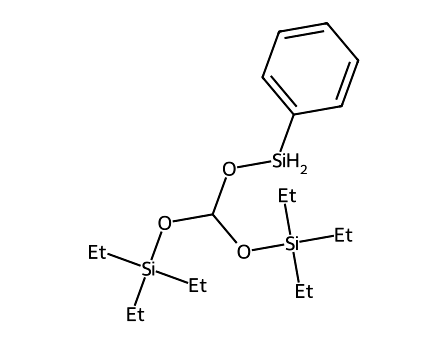 CC[Si](CC)(CC)OC(O[SiH2]c1ccccc1)O[Si](CC)(CC)CC